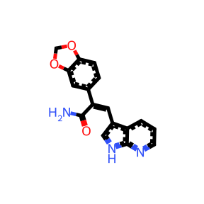 NC(=O)/C(=C\c1c[nH]c2ncccc12)c1ccc2c(c1)OCO2